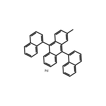 Cc1ccc2c(-c3cccc4ccccc34)c3ccccc3c(-c3cccc4ccccc34)c2c1.[Pd]